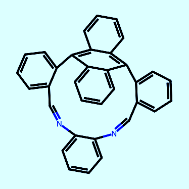 c1ccc2c(c1)cnc1ccccc1ncc1ccccc1c1c3ccccc3c2c2ccccc21